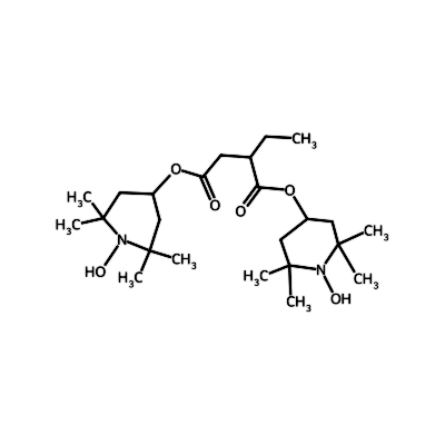 CCC(CC(=O)OC1CC(C)(C)N(O)C(C)(C)C1)C(=O)OC1CC(C)(C)N(O)C(C)(C)C1